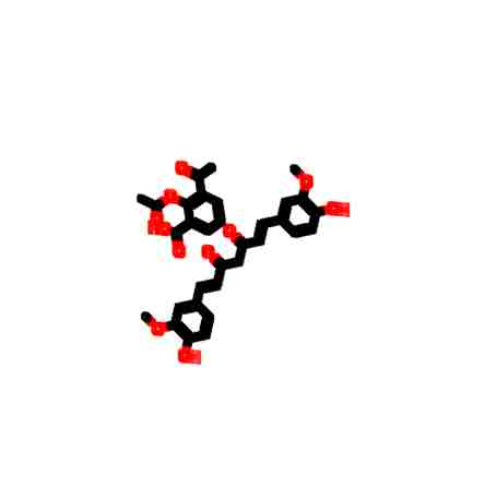 CC(=O)Oc1c(C(C)=O)cccc1C(=O)O.COc1cc(C=CC(=O)CC(=O)C=Cc2ccc(O)c(OC)c2)ccc1O